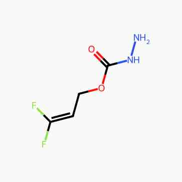 NNC(=O)OCC=C(F)F